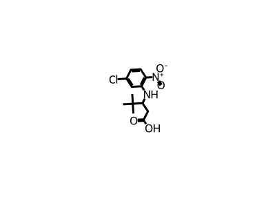 CC(C)(C)C(CC(=O)O)Nc1cc(Cl)ccc1[N+](=O)[O-]